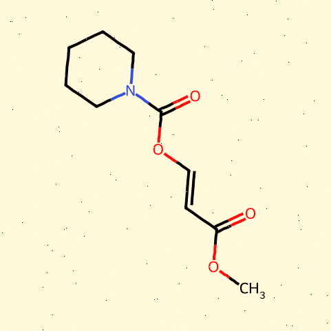 COC(=O)C=COC(=O)N1CCCCC1